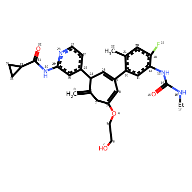 C=C1CC(OCCO)=CC(c2cc(NC(=O)NCC)c(F)cc2C)=CC1c1ccnc(NC(=O)C2CC2)c1